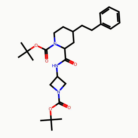 CC(C)(C)OC(=O)N1CC(NC(=O)C2CC(CCc3ccccc3)CCN2C(=O)OC(C)(C)C)C1